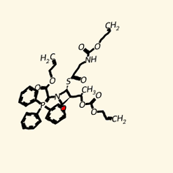 C=CCOC(=O)NCC(=O)S[C@@H]1[C@@H]([C@@H](C)OC(=O)OCC=C)C(=O)N1C(C(=O)OCC=C)=P(c1ccccc1)(c1ccccc1)c1ccccc1